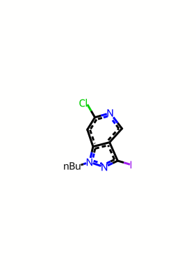 CCCCn1nc(I)c2cnc(Cl)cc21